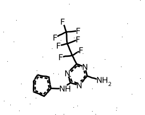 Nc1nc(Nc2ccccc2)nc(C(F)(F)C(F)(F)C(F)(F)F)n1